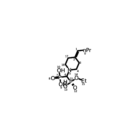 CCCC=C1CCN(C(P(=O)(O)O)P(=O)(O)OCC)CC1